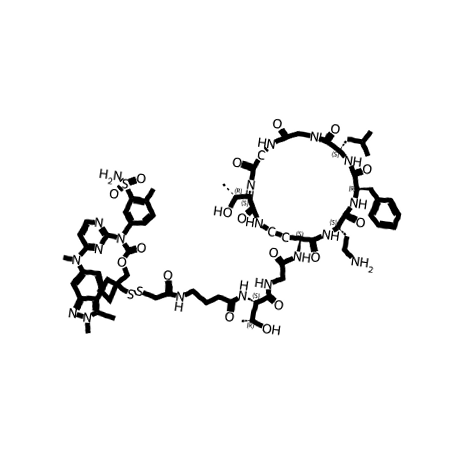 Cc1ccc(N(C(=O)OCC2(SSCC(=O)NCCCC(=O)N[C@H](C(=O)NCC(=O)N[C@H]3CCNC(=O)[C@H]([C@@H](C)O)NC(=O)CNC(=O)CNC(=O)[C@H](CC(C)C)NC(=O)[C@@H](Cc4ccccc4)NC(=O)[C@H](CCN)NC3=O)[C@@H](C)O)CCC2)c2nccc(N(C)c3ccc4c(C)n(C)nc4c3)n2)cc1S(N)(=O)=O